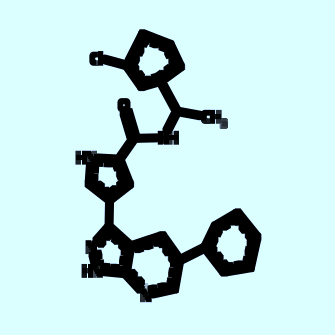 CC(NC(=O)c1cc(-c2n[nH]c3ncc(-c4ccccc4)cc23)c[nH]1)c1cccc(Cl)c1